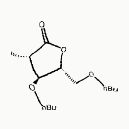 CCCCOC[C@H]1OC(=O)[C@@H](C)[C@@H]1OCCCC